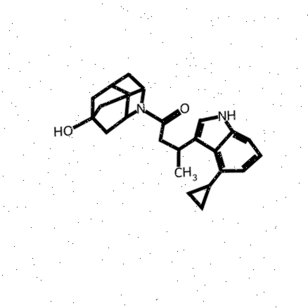 CC(CC(=O)N1C2CC3CC1CC(O)(C3)C2)c1c[nH]c2cccc(C3CC3)c12